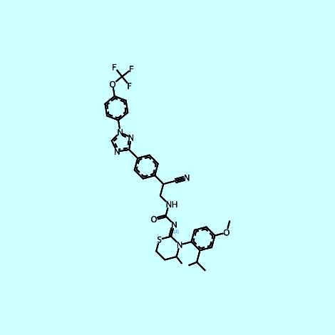 COc1ccc(N2/C(=N/C(=O)NCC(C#N)c3ccc(-c4ncn(-c5ccc(OC(F)(F)F)cc5)n4)cc3)SCCC2C)c(C(C)C)c1